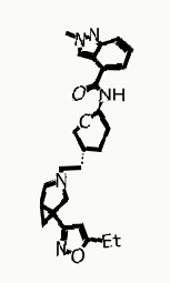 CCc1cc(C23CC2CN(CC[C@H]2CC[C@H](NC(=O)c4cccc5nn(C)cc45)CC2)C3)no1